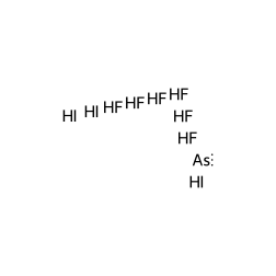 F.F.F.F.F.F.I.I.I.[As]